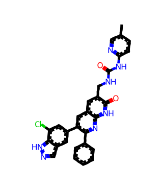 Cc1ccc(NC(=O)NCc2cc3cc(-c4cc(Cl)c5[nH]ncc5c4)c(-c4ccccc4)nc3[nH]c2=O)nc1